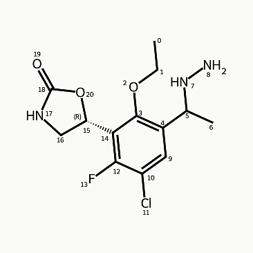 CCOc1c(C(C)NN)cc(Cl)c(F)c1[C@@H]1CNC(=O)O1